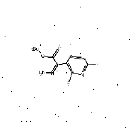 CC(C)(C)OC(=O)/C(=N\N)c1ccc(F)nc1F